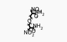 NC(=O)C(CCOCCC(C[N+](=O)[O-])C(N)=O)C[N+](=O)[O-]